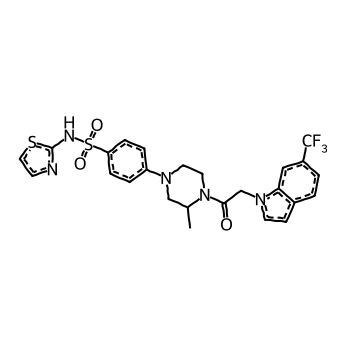 CC1CN(c2ccc(S(=O)(=O)Nc3nccs3)cc2)CCN1C(=O)Cn1ccc2ccc(C(F)(F)F)cc21